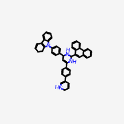 C1=Cc2c(n(-c3ccc(C4C=C(c5ccc(C6=CNCC=C6)cc5)NC(c5cc6ccccc6c6ccccc56)N4)cc3)c3ccccc23)CC1